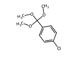 COC(OC)(OC)c1ccc(Cl)cc1